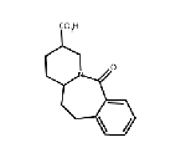 O=C(O)C1CCC2CCc3ccccc3C(=O)N2C1